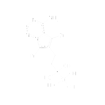 CC(C)(CCc1c(Br)c2c(N)ncnn2c1Br)[Si](C)(C)O